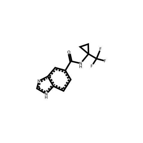 O=C(NC1(C(F)(F)F)CC1)c1ccc2[nH]cnc2c1